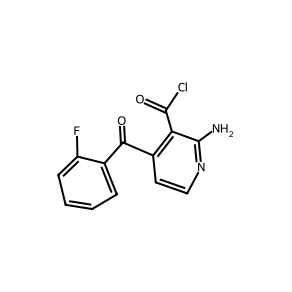 Nc1nccc(C(=O)c2ccccc2F)c1C(=O)Cl